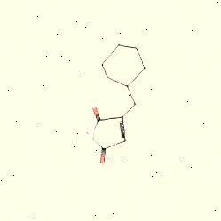 O=C1C=C(CC2CCCCC2)C(=O)N1